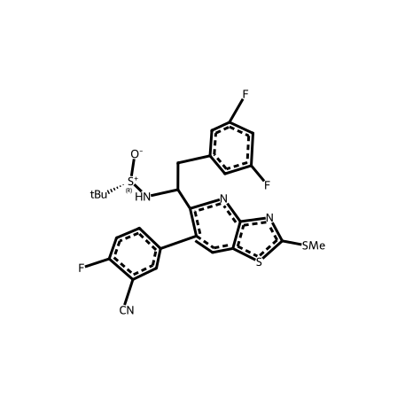 CSc1nc2nc(C(Cc3cc(F)cc(F)c3)N[S@@+]([O-])C(C)(C)C)c(-c3ccc(F)c(C#N)c3)cc2s1